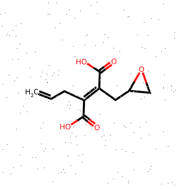 C=CC/C(C(=O)O)=C(/CC1CO1)C(=O)O